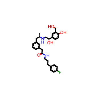 C[C@H](Cc1cccc(CC(=O)NCCCc2ccc(F)cc2)c1)NC[C@@H](O)c1ccc(O)c(CO)c1